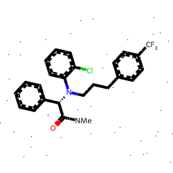 CNC(=O)[C@H](c1ccccc1)N(CCCc1ccc(C(F)(F)F)cc1)c1ccccc1Cl